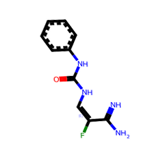 N=C(N)/C(F)=C\NC(=O)Nc1ccccc1